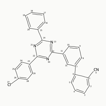 N#Cc1ccccc1-c1cccc(-c2nc(-c3ccccc3)nc(-c3ccc(Cl)cc3)n2)c1